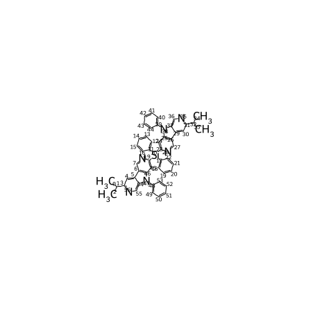 CC(C)c1cc2c3cnc([Si](c4ccccc4)(c4ccccc4)c4cc5c(cn4)c4cc(C(C)C)ncc4n5-c4ccccc4)cc3n(-c3ccccc3)c2cn1